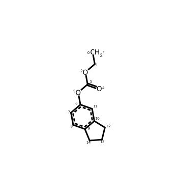 [CH2]COC(=O)Oc1ccc2c(c1)CCC2